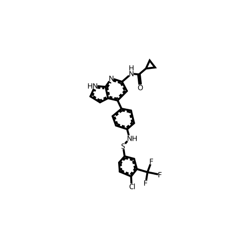 O=C(Nc1cc(-c2ccc(NSc3ccc(Cl)c(C(F)(F)F)c3)cc2)c2cc[nH]c2n1)C1CC1